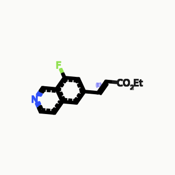 CCOC(=O)/C=C/c1cc(F)c2cnccc2c1